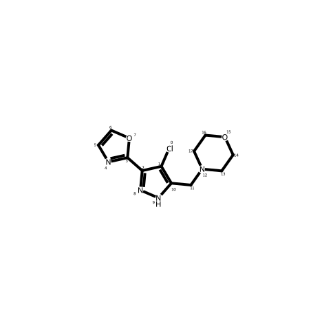 Clc1c(-c2ncco2)n[nH]c1CN1CCOCC1